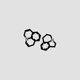 C1=CN2CC=Cc3cccc(c32)C1.c1cc2c3c(c1)CCN3CCC2